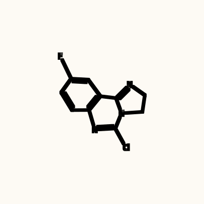 Fc1ccc2c(c1)C1=NCCN1C(Cl)=N2